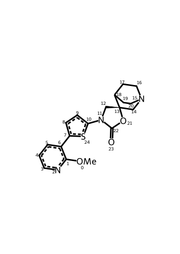 COc1ncccc1-c1ccc(N2C[C@@]3(CN4CCC3CC4)OC2=O)s1